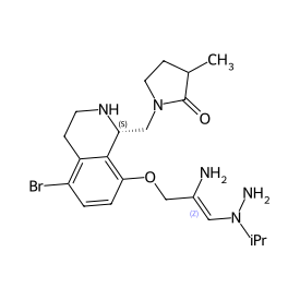 CC1CCN(C[C@H]2NCCc3c(Br)ccc(OC/C(N)=C/N(N)C(C)C)c32)C1=O